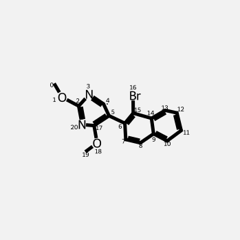 COc1n[c]c(-c2ccc3ccccc3c2Br)c(OC)n1